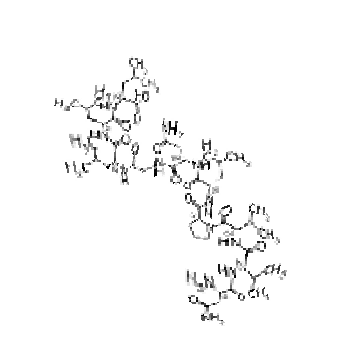 CC(C)C[C@H](NC(=O)[C@H](CC(C)C)NC(=O)[C@H](CC(C)C)NC(=O)CNC(=O)[C@H](CC(N)=O)NC(=O)[C@H](CC(C)C)NC(=O)[C@@H]1CCCN1C(=O)[C@@H](NC(=O)[C@@H](NC(=O)[C@@H](N)CC(N)=O)C(C)C)C(C)C)C(=O)O